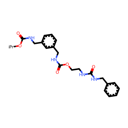 CC(C)OC(=O)NCc1cccc(CNC(=O)OCCNC(=O)NCc2ccccc2)c1